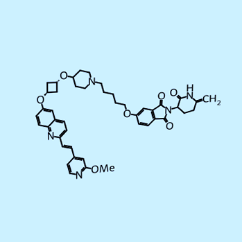 C=C1CCC(N2C(=O)c3ccc(OCCCCCN4CCC(O[C@H]5C[C@H](Oc6ccc7nc(/C=C/c8ccnc(OC)c8)ccc7c6)C5)CC4)cc3C2=O)C(=O)N1